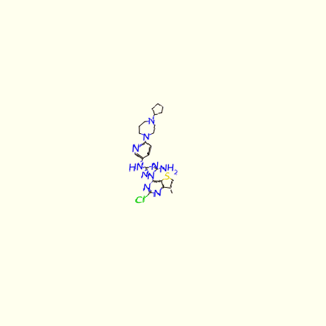 Cc1csc2c(-n3nc(Nc4ccc(N5CCCN(C6CCCC6)CC5)nc4)nc3N)nc(Cl)nc12